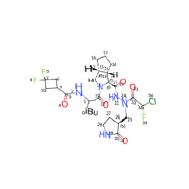 CCC(C)C(NC(=O)C1CC(F)(F)C1)C(=O)N1C[C@@H]2CCC[C@@H]2[C@H]1C(=O)NN(C[C@@H]1CCNC1=O)C(=O)C(F)Cl